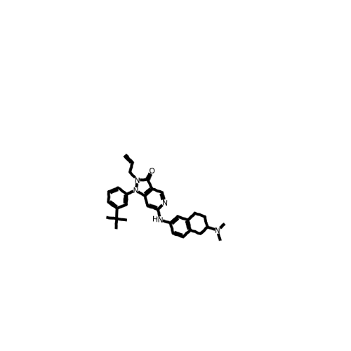 C=CCn1c(=O)c2cnc(Nc3ccc4c(c3)CCC(N(C)C)C4)cc2n1-c1cccc(C(C)(C)C)c1